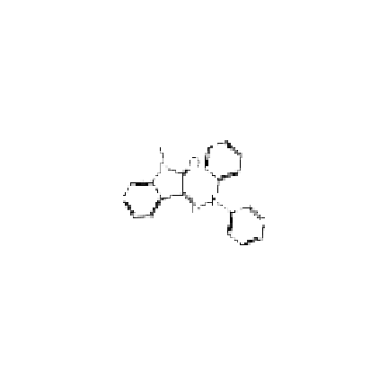 CN1C(=O)/C(=N\N(c2ccccc2)c2ccccc2)c2ccccc21